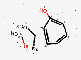 CCCCCCCC[CH2][Na].O=S(=O)(O)O.Oc1ccccc1